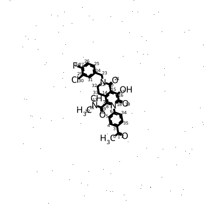 CC(=O)c1ccc(-n2c(C(=O)N(C)C)c3c(c(O)c2=O)C(=O)N(Cc2ccc(F)c(Cl)c2)CC3)cc1